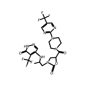 CC(CN1CC(C(=O)N2CCN(c3ncc(C(F)(F)F)cn3)CC2)OC1=O)Nc1cn[nH]c(=O)c1C(F)(F)F